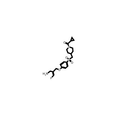 NCC(=CF)COc1ccc(S(=O)(=O)CC2CCN(C(=O)C3CC3)CC2)cc1